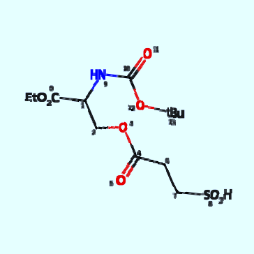 CCOC(=O)C(COC(=O)CCS(=O)(=O)O)NC(=O)OC(C)(C)C